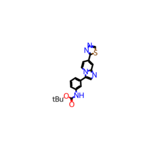 CC(C)(C)OC(=O)Nc1cccc(-c2cnc3cc(-c4nncs4)ccn23)c1